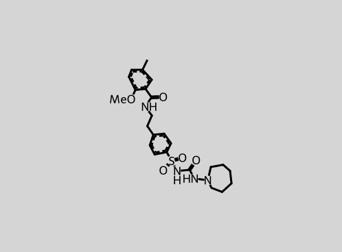 COc1ccc(C)cc1C(=O)NCCc1ccc(S(=O)(=O)NC(=O)NN2CCCCCC2)cc1